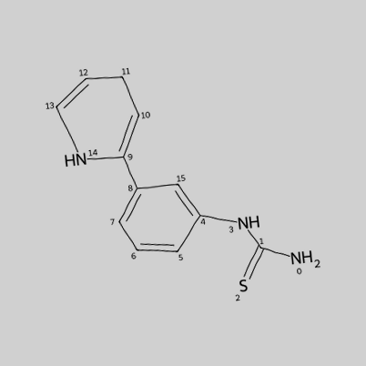 NC(=S)Nc1cccc(C2=CCC=CN2)c1